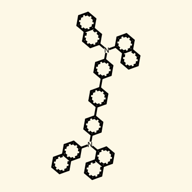 c1ccc2cc(N(c3ccc(-c4ccc(-c5ccc(N(c6ccc7ccccc7c6)c6cccc7ccccc67)cc5)cc4)cc3)c3cccc4ccccc34)ccc2c1